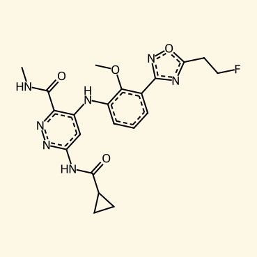 CNC(=O)c1nnc(NC(=O)C2CC2)cc1Nc1cccc(-c2noc(CCF)n2)c1OC